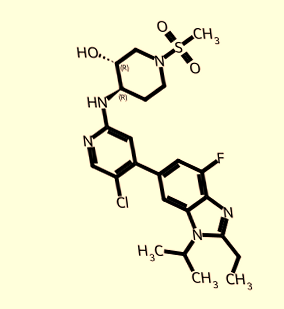 CCc1nc2c(F)cc(-c3cc(N[C@@H]4CCN(S(C)(=O)=O)C[C@H]4O)ncc3Cl)cc2n1C(C)C